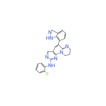 Fc1ccccc1Nc1ncc2c(n1)N1CCCN=C1C(c1cccc3cn[nH]c13)=C2